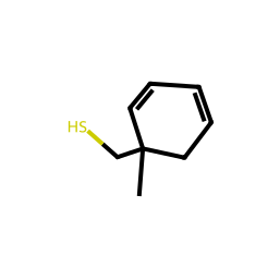 CC1(CS)C=CC=CC1